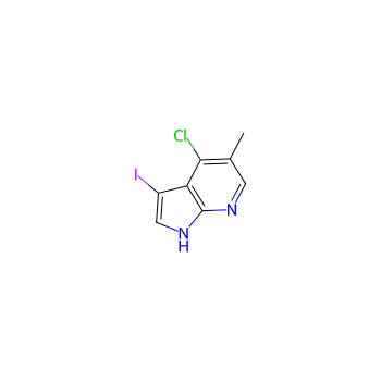 Cc1cnc2[nH]cc(I)c2c1Cl